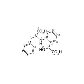 O=C(O)C(Cc1ccccc1)Nc1cc#ccc1C(O)C(=O)O